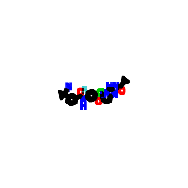 N#CC1(c2cccc(C(=O)Nc3cc(Oc4ccc5nc(NC(=O)C6CC6)cn5n4)c(Cl)cc3F)c2)CC1